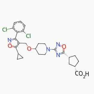 O=C(O)[C@H]1CC[C@@H](c2nc(N3CCC(OCc4c(-c5c(Cl)cccc5Cl)noc4C4CC4)CC3)no2)C1